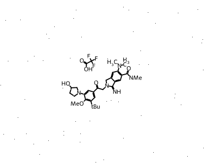 CNC(=O)c1cc2c(cc1N(C)C)CN(CC(=O)c1cc(N3CCC(O)C3)c(OC)c(C(C)(C)C)c1)C2=N.O=C(O)C(F)(F)F